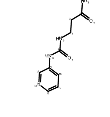 NC(=O)CCNC(=O)Nc1cccnc1